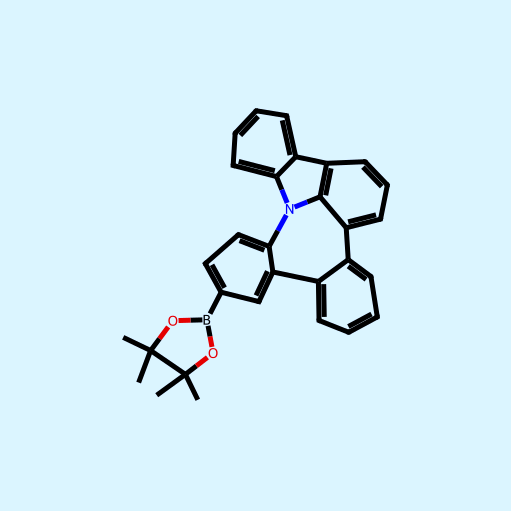 CC1(C)OB(c2ccc3c(c2)-c2ccccc2-c2cccc4c5ccccc5n-3c24)OC1(C)C